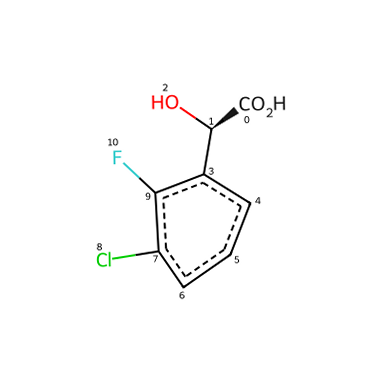 O=C(O)[C@H](O)c1cccc(Cl)c1F